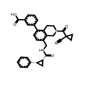 N#CC1(C(=O)N2CCc3c(-c4cccc(C(=O)O)c4)ccc(CNC(=O)[C@@H]4C[C@@H]4c4ccccc4)c3C2)CC1